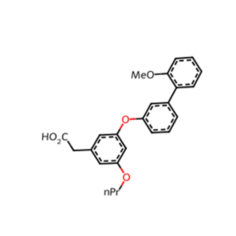 CCCOc1cc(CC(=O)O)cc(Oc2cccc(-c3ccccc3OC)c2)c1